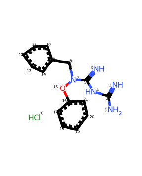 Cl.N=C(N)NC(=N)N(Cc1ccccc1)Oc1ccccc1